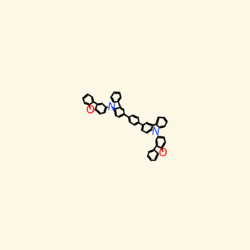 c1ccc2c(c1)oc1ccc(-n3c4ccccc4c4cc(-c5ccc(-c6ccc7c(c6)c6ccccc6n7-c6ccc7oc8ccccc8c7c6)cc5)ccc43)cc12